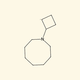 [CH]1CCC1N1CCCCCCC1